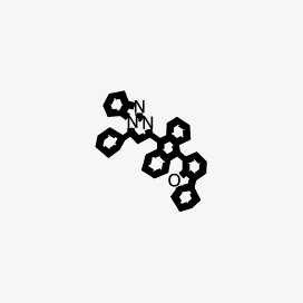 c1ccc(-c2cc(-c3c4ccccc4c(-c4cccc5c4oc4ccccc45)c4ccccc34)nc3nc4ccccc4n23)cc1